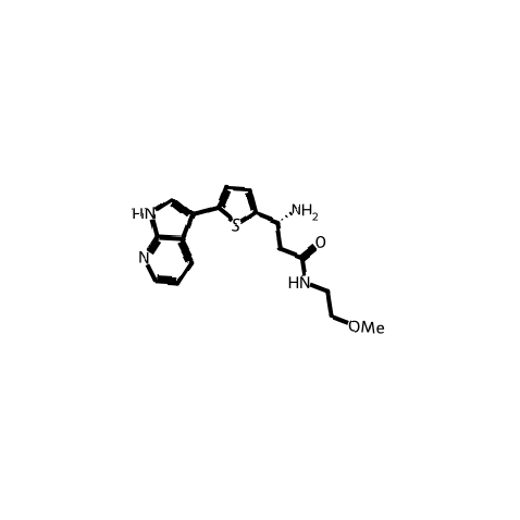 COCCNC(=O)C[C@@H](N)c1ccc(-c2c[nH]c3ncccc23)s1